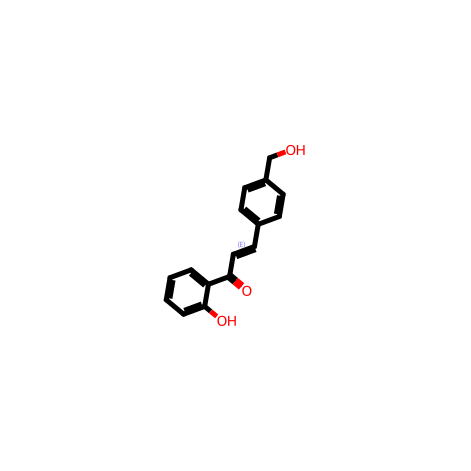 O=C(/C=C/c1ccc(CO)cc1)c1ccccc1O